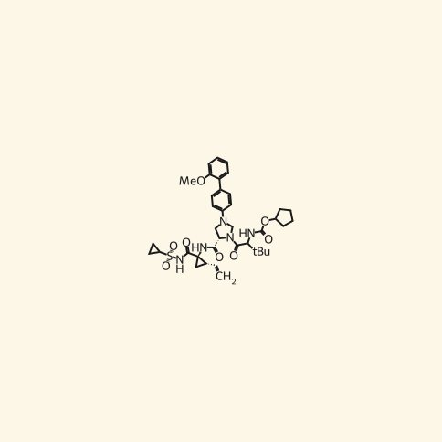 C=C[C@@H]1C[C@]1(NC(=O)[C@@H]1CN(c2ccc(-c3ccccc3OC)cc2)CN1C(=O)C(NC(=O)OC1CCCC1)C(C)(C)C)C(=O)NS(=O)(=O)C1CC1